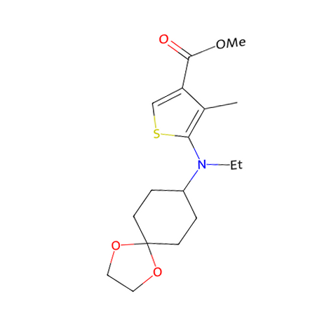 CCN(c1scc(C(=O)OC)c1C)C1CCC2(CC1)OCCO2